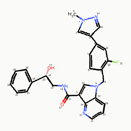 Cn1cc(-c2ccc(Cn3cc(C(=O)NC[C@@H](O)c4ccccc4)c4ncccc43)c(F)c2)cn1